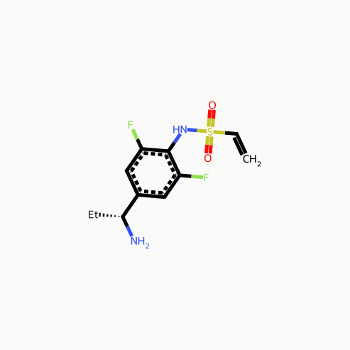 C=CS(=O)(=O)Nc1c(F)cc([C@H](N)CC)cc1F